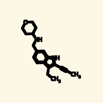 CC#Cc1[nH]c2cc(CNC3CCOCC3)ccc2c1CC